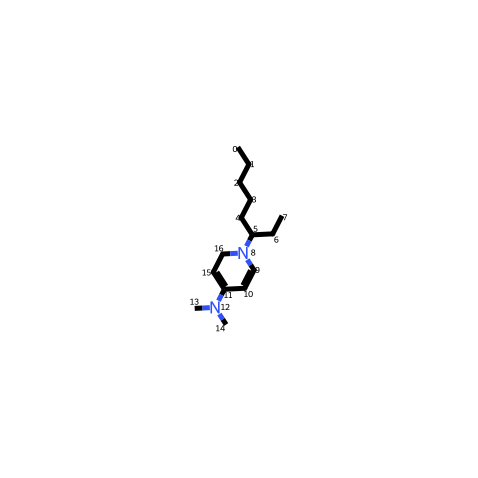 CCCCCC(CC)N1C=CC(N(C)C)=CC1